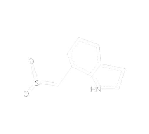 O=S(=O)=Cc1cccc2cc[nH]c12